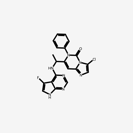 CC(Nc1ncnc2[nH]cc(F)c12)c1cc2ncc(Cl)n2c(=O)n1-c1ccccc1